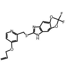 C=CCOc1ccnc(CSc2nc3cc4c(cc3[nH]2)OC(F)(F)O4)c1